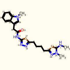 CNC1SC(CCCCc2nnc(NC(=O)Cc3cn(C)c4ccccc34)s2)=NN1C